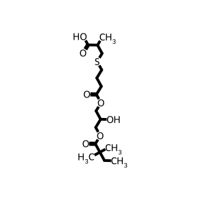 CCC(C)(C)C(=O)OCC(O)COC(=O)CCCSCC(C)C(=O)O